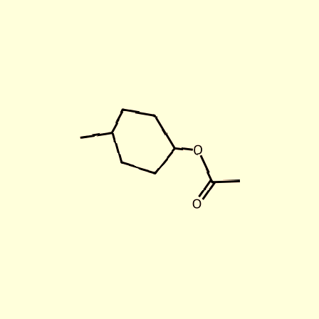 CC(=O)OC1CCC(C)CC1